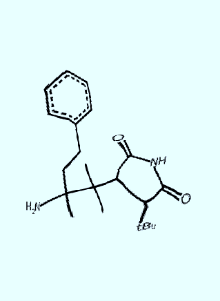 CC(C)(C)C1C(=O)NC(=O)C1C(C)(C)C(C)(N)CCc1ccccc1